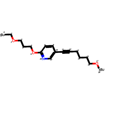 CC(C)(C)COCCCOc1ccc(C#CCCCCOC(C)(C)C)cn1